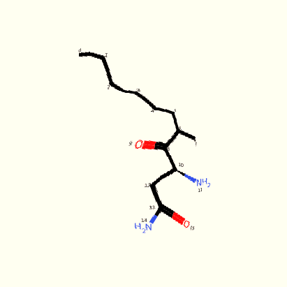 CCCCCCC(C)C(=O)[C@@H](N)CC(N)=O